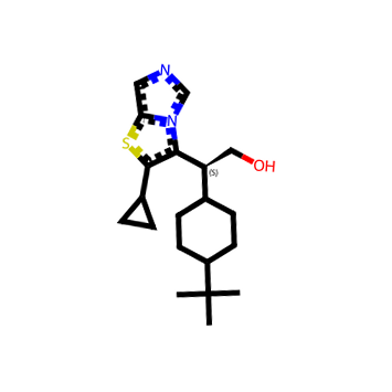 CC(C)(C)C1CCC([C@H](CO)c2c(C3CC3)sc3cncn23)CC1